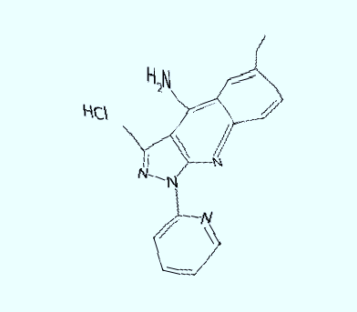 Cc1ccc2nc3c(c(C)nn3-c3ccccn3)c(N)c2c1.Cl